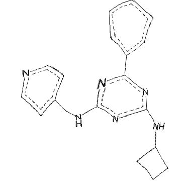 c1ccc(-c2nc(Nc3ccncc3)nc(NC3CCC3)n2)cc1